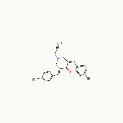 C#CCN1C/C(=C/c2ccc(CC)cc2)C(=O)/C(=C/c2ccc(CC)cc2)C1